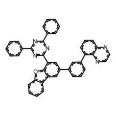 c1ccc(-c2nc(-c3ccccc3)nc(-c3cc(-c4cccc(-c5cccc6nccnc56)c4)cc4c3oc3ccccc34)n2)cc1